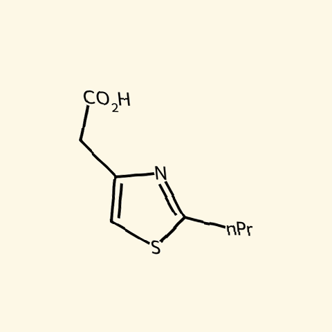 CCCc1nc(CC(=O)O)cs1